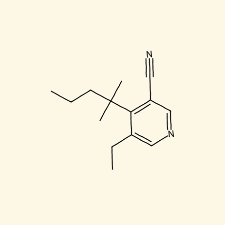 CCCC(C)(C)c1c(C#N)cncc1CC